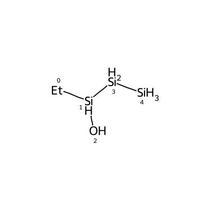 CC[SiH](O)[SiH2][SiH3]